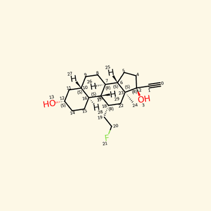 C#C[C@@]1(O)CC[C@H]2[C@@H]3CC[C@H]4C[C@@H](O)CC[C@@H]4[C@H]3[C@@H](CCF)C[C@@]21C